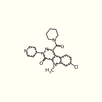 Cn1c2cc(Cl)ccc2c2c(C(=O)N3CCCCC3)nn(-c3ccncc3)c(=O)c21